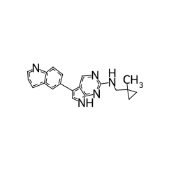 CC1(CNc2ncc3c(-c4ccc5ncccc5c4)c[nH]c3n2)CC1